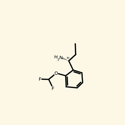 CC[C@@H](N)c1ccccc1OC(F)F